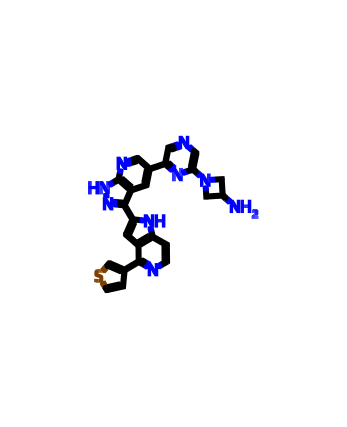 NC1CN(c2cncc(-c3cnc4[nH]nc(-c5cc6c(-c7ccsc7)nccc6[nH]5)c4c3)n2)C1